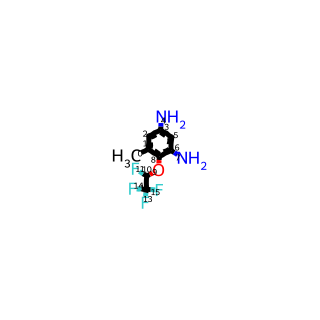 Cc1cc(N)cc(N)c1OC(F)C(F)(F)F